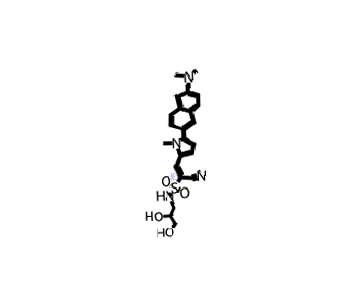 CN(C)c1ccc2cc(-c3ccc(/C=C(\C#N)S(=O)(=O)NCC(O)CO)n3C)ccc2c1